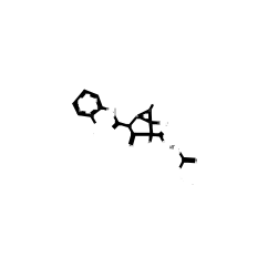 C=C1C(C(=O)Nc2ccccc2C)C2C(C(=O)O)C2(CC)C1(CC)C(=O)ONC(=O)OC(C)(C)C